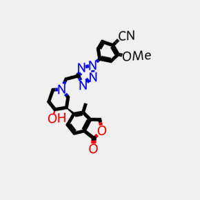 COc1cc(-n2nnc(CN3CC[C@@H](O)[C@H](c4ccc5c(c4C)COC5=O)C3)n2)ccc1C#N